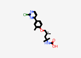 Cc1cc(-c2ccnc(Cl)n2)ccc1OC[C@@H](C)CC(C)(C)NC(=O)O